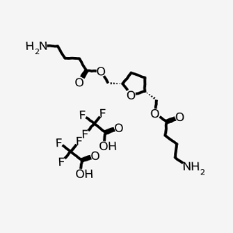 NCCCC(=O)OC[C@H]1CC[C@@H](COC(=O)CCCN)O1.O=C(O)C(F)(F)F.O=C(O)C(F)(F)F